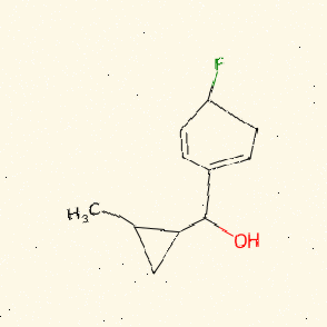 CC1CC1C(O)C1=CCC(F)C=C1